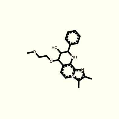 COCCOC1c2ccn3c(C)c(C)nc3c2NC(c2ccccc2)C1O